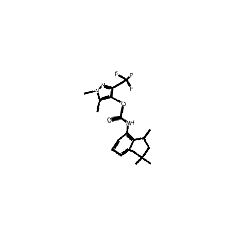 Cc1c(OC(=O)Nc2cccc3c2C(C)CC3(C)C)c(C(F)(F)F)nn1C